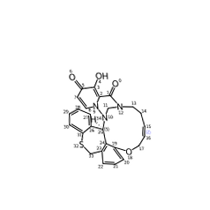 O=C1c2c(O)c(=O)ccn2N2CN1CC/C=C\COc1cccc3c1[C@H]2c1ccccc1SC3